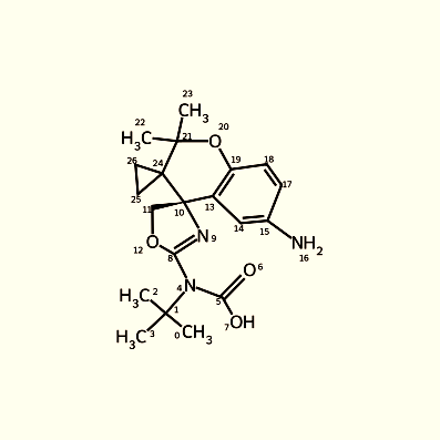 CC(C)(C)N(C(=O)O)C1=N[C@@]2(CO1)c1cc(N)ccc1OC(C)(C)C21CC1